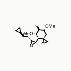 CO[C@@H]1C(=O)[C@H](OC)C[C@]2(CO2)[C@H]1[C@@]1(C)O[C@@H]1CC=C1CC1